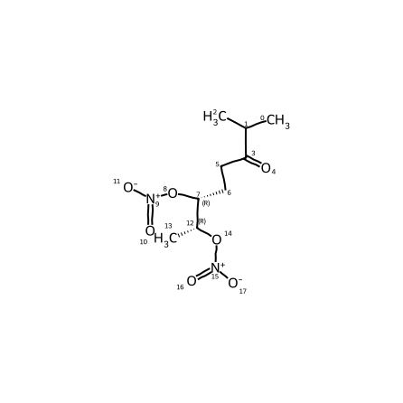 CC(C)C(=O)CC[C@@H](O[N+](=O)[O-])[C@@H](C)O[N+](=O)[O-]